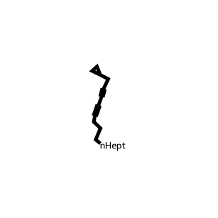 CCCCCCCCCCC#CC#CCC1CC1